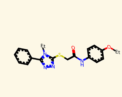 CCOc1ccc(NC(=O)CSc2nnc(-c3ccccc3)n2CC)cc1